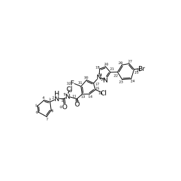 O=C(Nc1ccccc1)N(Cl)C(=O)c1cc(Cl)c(-n2ccc(-c3ccc(Br)cc3)n2)cc1F